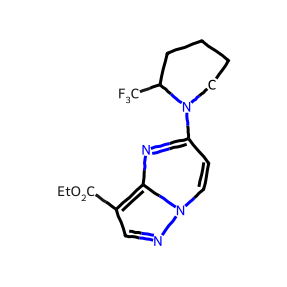 CCOC(=O)c1cnn2ccc(N3CCCCC3C(F)(F)F)nc12